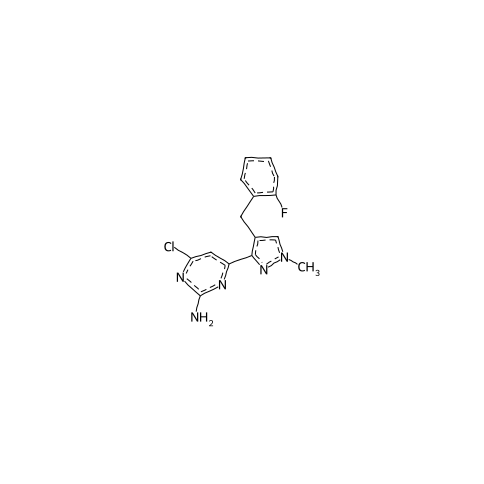 Cn1cc(Cc2ccccc2F)c(-c2cc(Cl)nc(N)n2)n1